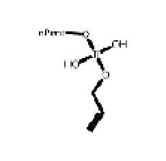 C=CC[O][Ti]([OH])([OH])[O]CCCCC